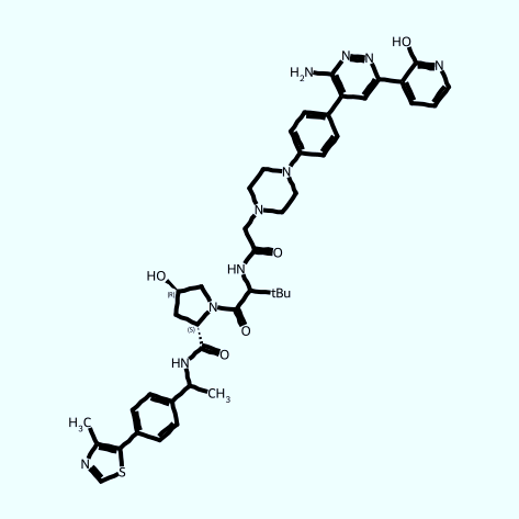 Cc1ncsc1-c1ccc(C(C)NC(=O)[C@@H]2C[C@@H](O)CN2C(=O)C(NC(=O)CN2CCN(c3ccc(-c4cc(-c5cccnc5O)nnc4N)cc3)CC2)C(C)(C)C)cc1